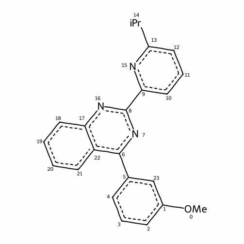 COc1cccc(-c2nc(-c3cccc(C(C)C)n3)nc3ccccc23)c1